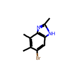 Cc1nc2c(C)c(C)c(Br)cc2[nH]1